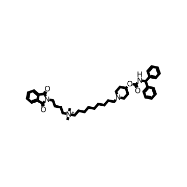 C[N+](C)(CCCCCCCCCN1CCC(OC(=O)NC(c2ccccc2)c2ccccc2)CC1)CCCCN1C(=O)c2ccccc2C1=O